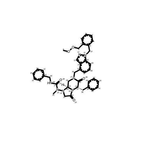 COOCc1ccccc1Cn1ncc2c(CN3C[C@H]4N(C(=O)CN4N(C)C(=O)NCc4ccccc4)[C@@H](Cc4ccccc4)C3=O)cccc21